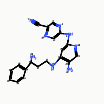 N#Cc1cnc(Nc2cc(NCCC(N)c3ccccc3)c(N)cn2)cn1